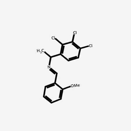 COc1ccccc1C=NC(C)c1ccc(Cl)c(Cl)c1Cl